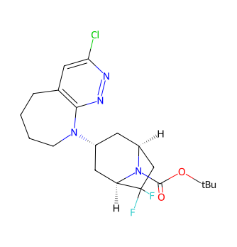 CC(C)(C)OC(=O)N1[C@H]2C[C@@H](N3CCCCc4cc(Cl)nnc43)C[C@@H]1C(F)(F)C2